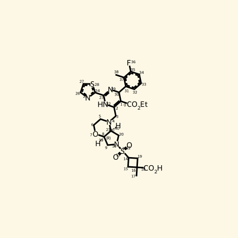 CCOC(=O)C1=C(CN2CCO[C@@H]3CN(S(=O)(=O)C4CC(C)(C(=O)O)C4)C[C@@H]32)NC(c2nccs2)=NC1c1cccc(F)c1C